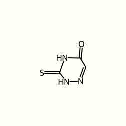 O=c1cn[nH]c(=S)[nH]1